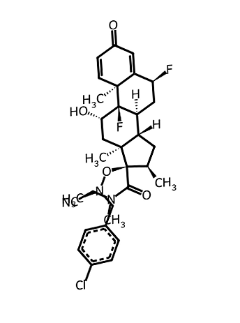 C[C@@H]1C[C@H]2[C@@H]3C[C@H](F)C4=CC(=O)C=C[C@]4(C)[C@@]3(F)[C@@H](O)C[C@]2(C)[C@@]1(ON(C)Cc1ccc(Cl)cc1)C(=O)N(C)CC#N